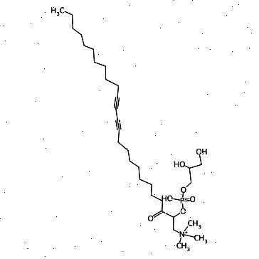 CCCCCCCCCCC#CC#CCCCCCCCCC(=O)C(C[N+](C)(C)C)OP(=O)(O)OCC(O)CO